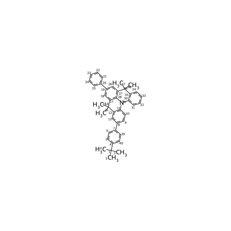 CC(C)(C)c1ccc(-c2ccc3c(c2)C(C)(C)c2cc(-c4ccccc4)cc4c2N3c2ccccc2C4(C)C)cc1